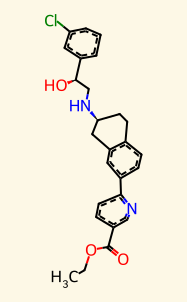 CCOC(=O)c1ccc(-c2ccc3c(c2)C[C@@H](NC[C@@H](O)c2cccc(Cl)c2)CC3)nc1